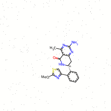 COc1nc(-c2ccccc2[C@H]2Cc3nc(N)nc(C)c3C(=O)N2)cs1